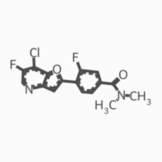 CN(C)C(=O)c1ccc(-c2cc3ncc(F)c(Cl)c3o2)c(F)c1